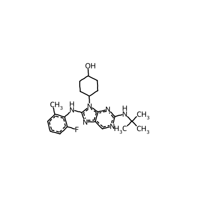 Cc1cccc(F)c1Nc1nc2cnc(NC(C)(C)C)nc2n1C1CCC(O)CC1